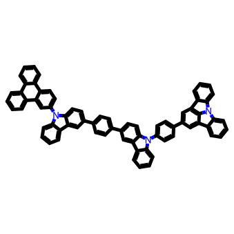 c1ccc2c(c1)c1ccccc1c1cc(-n3c4ccccc4c4cc(-c5ccc(-c6ccc7c(c6)c6ccccc6n7-c6ccc(-c7cc8c9ccccc9n9c%10ccccc%10c(c7)c89)cc6)cc5)ccc43)ccc21